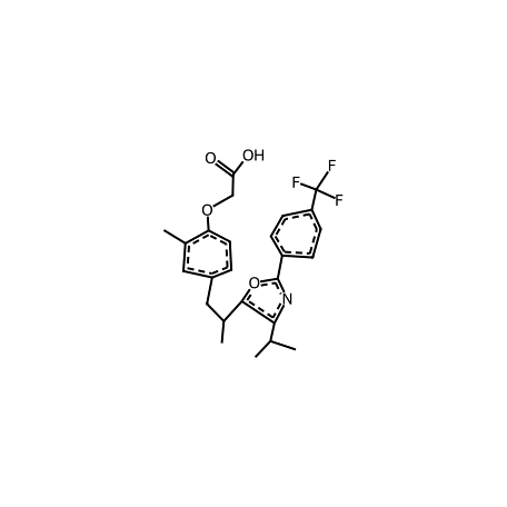 Cc1cc(CC(C)c2oc(-c3ccc(C(F)(F)F)cc3)nc2C(C)C)ccc1OCC(=O)O